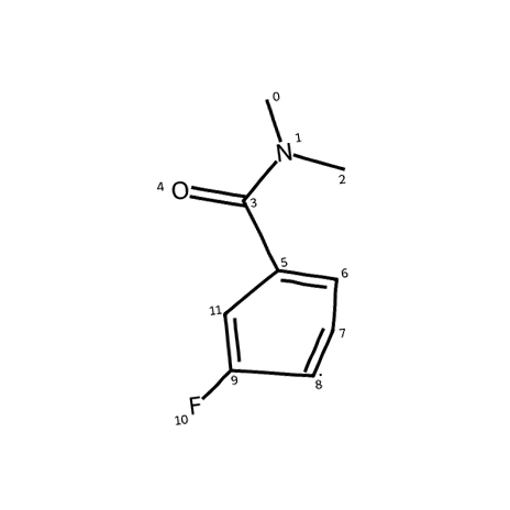 CN(C)C(=O)c1cc[c]c(F)c1